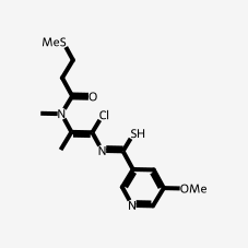 COc1cncc(/C(S)=N/C(Cl)=C(\C)N(C)C(=O)CCSC)c1